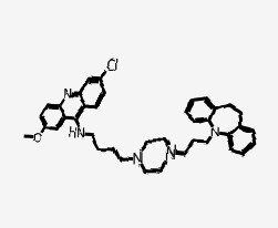 COc1ccc2nc3cc(Cl)ccc3c(NCCCCN3CCN(CCCN4c5ccccc5CCc5ccccc54)CC3)c2c1